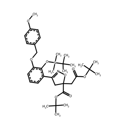 COc1ccc(COc2cccc(C3=NOC(CC(=O)OC(C)(C)C)(C(=O)OC(C)(C)C)C3)c2O[Si](C)(C)C(C)(C)C)cc1